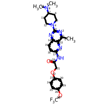 Cc1nc(N2CCC(N(C)C)CC2)nc2ccc(NC(=O)COc3ccc(OC(F)(F)F)cc3)nc12